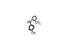 CC1CCCN1C(=O)c1ccc(C#N)cc1